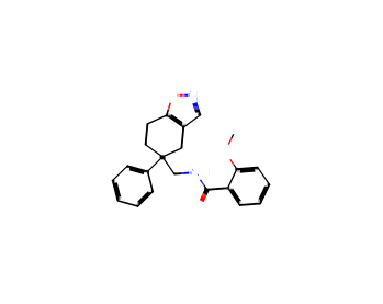 COc1ccccc1C(=O)NCC1(c2ccccc2)CCc2oncc2C1